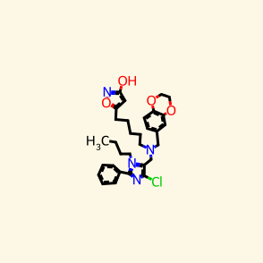 CCCCn1c(-c2ccccc2)nc(Cl)c1CN(CCCCCc1cc(O)no1)Cc1ccc2c(c1)OCCO2